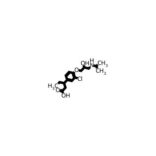 CCC(CC(=O)O)c1ccc(OCC(O)CNC(C)C)c(Cl)c1